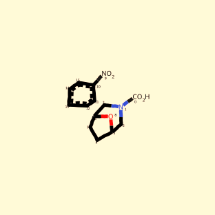 O=C(O)N1CC2CCC(C1)O2.O=[N+]([O-])c1ccccc1